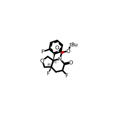 CC(C)(C)OC(=O)N1C(=O)C(F)C[C@]2(F)COC[C@]12c1ccccc1F